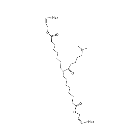 CCCCCC/C=C\COC(=O)CCCCCCCP(CCCCCCCC(=O)OC/C=C\CCCCCC)C(=O)CCCCN(C)C